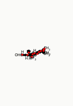 CC1CC2(C3=C(CN4CCN(c5ccc(C(=O)NS(=O)(=O)c6ccc(NC(CCNCCCCNC=O)CSc7ccccc7)c(S(=O)(=O)C(F)(F)F)c6)cc5)CC4)CCC(C)(C)C3)CC12